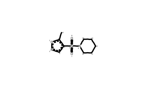 Cc1oncc1S(=O)(=O)N1CCCCC1